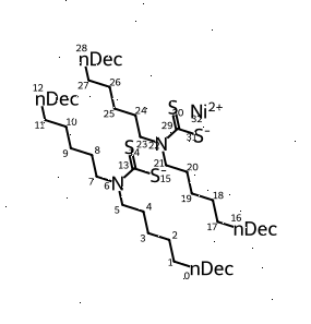 CCCCCCCCCCCCCCCN(CCCCCCCCCCCCCCC)C(=S)[S-].CCCCCCCCCCCCCCCN(CCCCCCCCCCCCCCC)C(=S)[S-].[Ni+2]